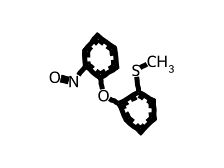 CSc1ccccc1Oc1ccccc1N=O